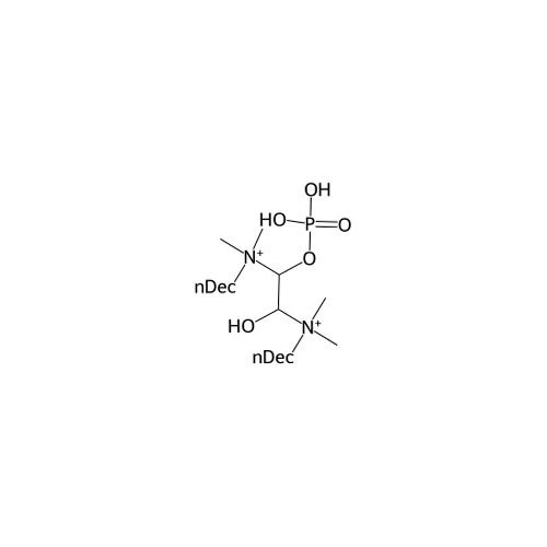 CCCCCCCCCC[N+](C)(C)C(O)C(OP(=O)(O)O)[N+](C)(C)CCCCCCCCCC